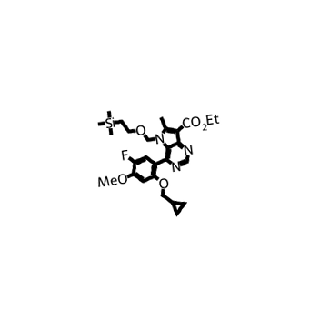 CCOC(=O)c1c(C)n(COCC[Si](C)(C)C)c2c(-c3cc(F)c(OC)cc3OCC3CC3)ncnc12